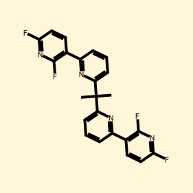 CC(C)(c1cccc(-c2ccc(F)nc2F)n1)c1cccc(-c2ccc(F)nc2F)n1